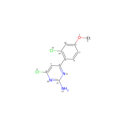 CCOc1ccc(-c2cc(Cl)nc(N)n2)c(Cl)c1